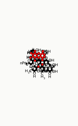 CCCO[C@@H]1OC(C)[C@H](O)[C@H](O[C@@H]2OC(C)[C@H](O)[C@H](O)C2O[C@@H]2OC(C)[C@H](O)[C@H](O[C@H]3O[C@@H](CO)[C@@H](O)C(O)C3O)C2O[C@@H]2OC(CO)[C@@H](O)[C@H](O[C@@H]3OC(C)[C@H](OCc4ccccc4)[C@H](O[C@@H]4OC(C)[C@H](O)[C@H](O)C4O[C@@H]4OC(C)[C@H](O)[C@H](O[C@H]5O[C@@H](CO)[C@@H](O)C(O)C5O)C4O[C@@H]4OC(CO)[C@@H](O)[C@H](O)C4NC(C)=O)C3C)C2NC(C)=O)C1C